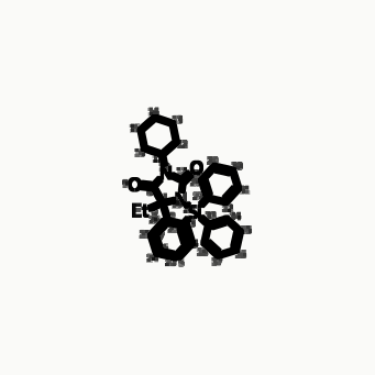 CCC1(C2CCCCC2)C(=O)N(C2CCCCC2)C(=O)N1[Si](c1ccccc1)(c1ccccc1)c1ccccc1